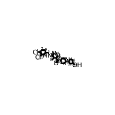 Cc1c(NCc2ccc(Cl)c(Cl)c2)ncnc1C(=O)N1CCC(N2CCC(O)C2)CC1